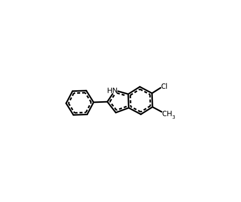 Cc1cc2cc(-c3ccccc3)[nH]c2cc1Cl